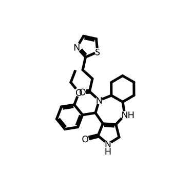 CCOc1ccccc1C1C2=C(CNC2=O)NC2CCCCC2N1C(=O)CCc1nccs1